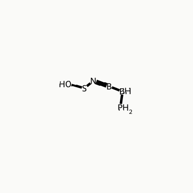 OS/N=B/BP